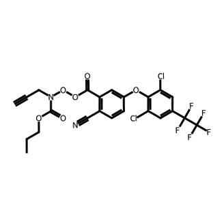 C#CCN(OOC(=O)c1cc(Oc2c(Cl)cc(C(F)(F)C(F)(F)F)cc2Cl)ccc1C#N)C(=O)OCCC